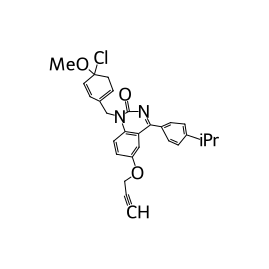 C#CCOc1ccc2c(c1)c(-c1ccc(C(C)C)cc1)nc(=O)n2CC1=CCC(Cl)(OC)C=C1